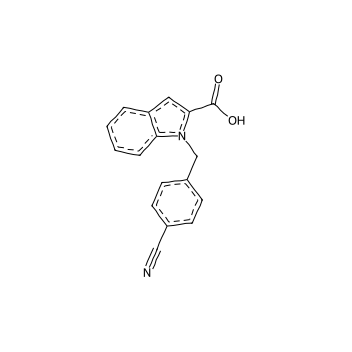 N#Cc1ccc(Cn2c(C(=O)O)cc3ccccc32)cc1